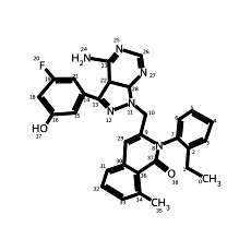 CCc1ccccc1-n1c(CN2N=C(c3cc(O)cc(F)c3)C3C(N)=NC=NC32)cc2cccc(C)c2c1=O